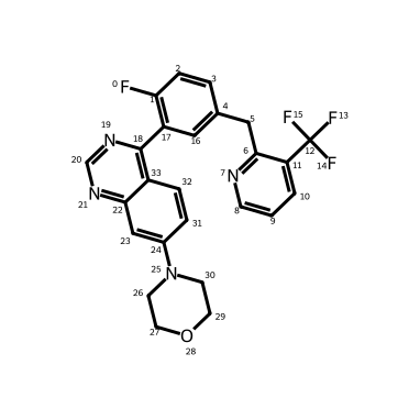 Fc1ccc(Cc2ncccc2C(F)(F)F)cc1-c1ncnc2cc(N3CCOCC3)ccc12